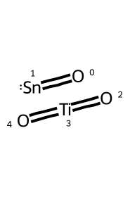 [O]=[Sn].[O]=[Ti]=[O]